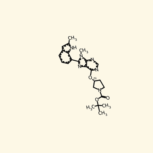 Cc1cc2cccc(-c3nc4c(O[C@H]5CCN(C(=O)OC(C)(C)C)C5)ncnc4n3C)c2[nH]1